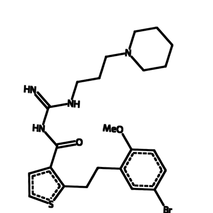 COc1ccc(Br)cc1CCc1sccc1C(=O)NC(=N)NCCCN1CCCCC1